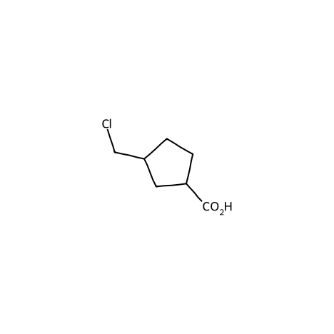 O=C(O)C1CCC(CCl)C1